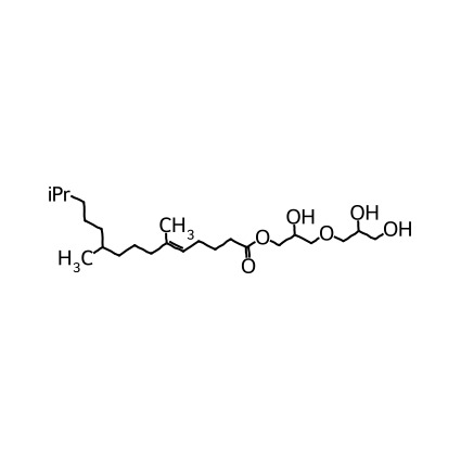 C/C(=C\CCCC(=O)OCC(O)COCC(O)CO)CCCC(C)CCCC(C)C